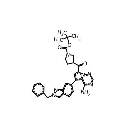 CC(C)(C)OC(=O)N1CCC(C(=O)c2cc(-c3ccc4cn(Cc5ccccc5)nc4c3)c3c(N)ncnn23)C1